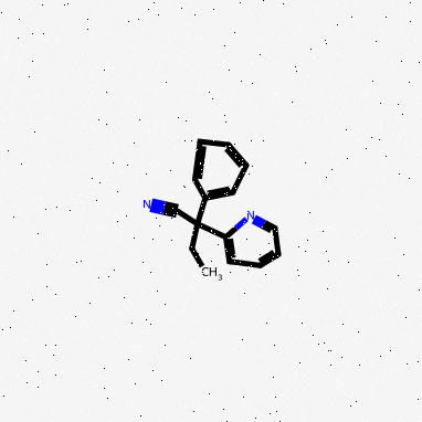 CCC(C#N)(c1ccccc1)c1ccccn1